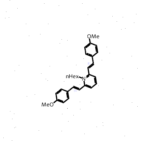 CCCCCC[n+]1c(/C=C/c2ccc(OC)cc2)cccc1/C=C/c1ccc(OC)cc1